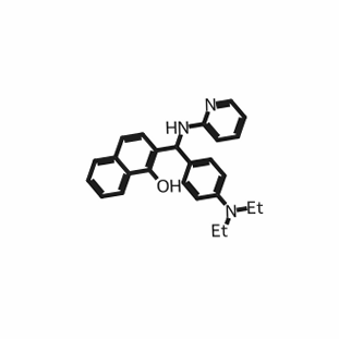 CCN(CC)c1ccc(C(Nc2ccccn2)c2ccc3ccccc3c2O)cc1